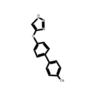 N#Cc1ccc(-c2ccc(Oc3c[nH]nn3)cc2)cc1